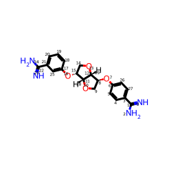 N=C(N)c1ccc(O[C@H]2CO[C@H]3[C@@H]2OC[C@H]3Oc2cccc(C(=N)N)c2)cc1